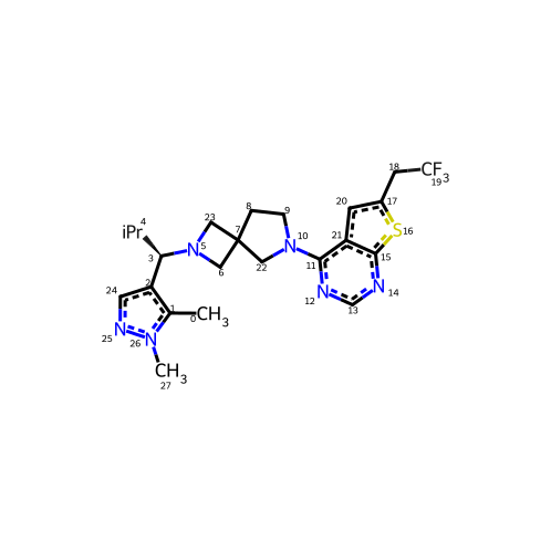 Cc1c([C@@H](C(C)C)N2CC3(CCN(c4ncnc5sc(CC(F)(F)F)cc45)C3)C2)cnn1C